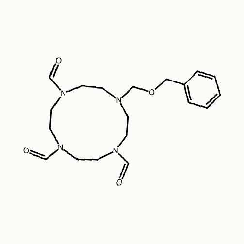 O=CN1CCN(C=O)CCN(COCc2ccccc2)CCN(C=O)CC1